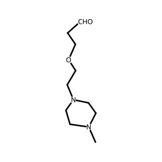 CN1CCN(CCOCCC=O)CC1